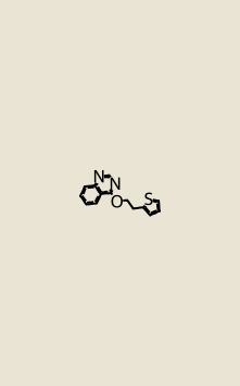 c1csc(CCOc2ncnc3ccccc23)c1